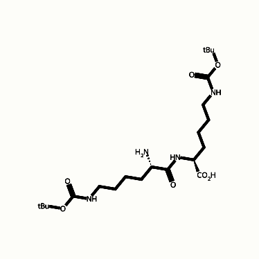 CC(C)(C)OC(=O)NCCCC[C@H](NC(=O)[C@@H](N)CCCCNC(=O)OC(C)(C)C)C(=O)O